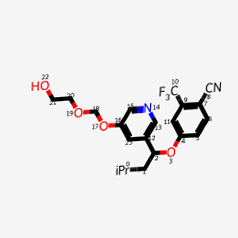 CC(C)CC(Oc1ccc(C#N)c(C(F)(F)F)c1)c1cncc(OCOCCO)c1